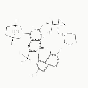 [2H]C([2H])(Oc1nc(N2C[C@H]3CC[C@@H](C2)N3)c2cc(C(F)(F)F)n(-c3cc(O)cc4ccc(F)c(F)c34)c(=O)c2n1)C1(CN2CCOCC2)CC1